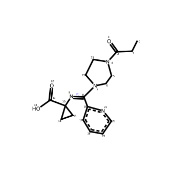 CCC(=O)N1CCN(/C(=N/C2(C(=O)O)CC2)c2ccccn2)CC1